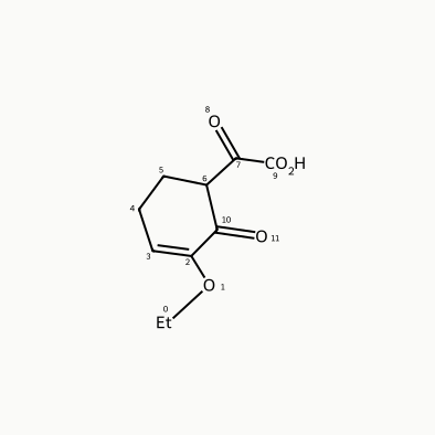 CCOC1=CCCC(C(=O)C(=O)O)C1=O